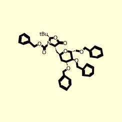 CC(C)(C)[C@@H]1OC(=O)[C@H](C[C@@H]2C[C@@H](OCc3ccccc3)[C@H](OCc3ccccc3)[C@@H](COCc3ccccc3)O2)N1C(=O)OCc1ccccc1